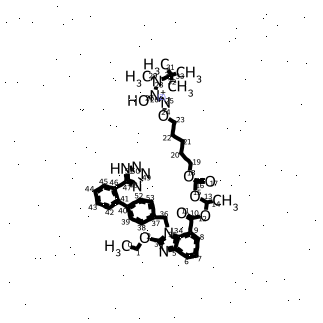 CCOc1nc2cccc(C(=O)OC(C)OC(=O)OCCCCCO/N=[N+](\O)N(C)C(C)(C)C)c2n1Cc1ccc(-c2ccccc2-c2nnn[nH]2)cc1